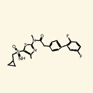 Cc1nc(N(C)C(=O)Cc2ccc(-c3cc(F)ccc3F)cc2)sc1S(=N)(=O)CC1CC1